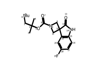 CC(C)(C)CC(C)(C)OC(=O)N1CC2(C1)C(=O)Nc1ccc(F)cc12